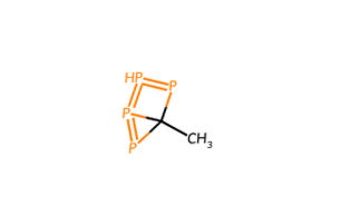 CC12P=[PH]=P1=P2